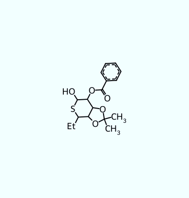 CCC1SC(O)C(OC(=O)c2ccccc2)C2OC(C)(C)OC12